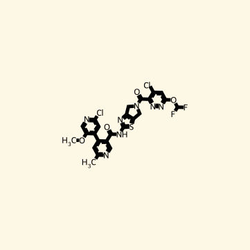 COc1cnc(Cl)cc1-c1cc(C)ncc1C(=O)Nc1nc2c(s1)CN(C(=O)c1nnc(OC(F)F)cc1Cl)C2